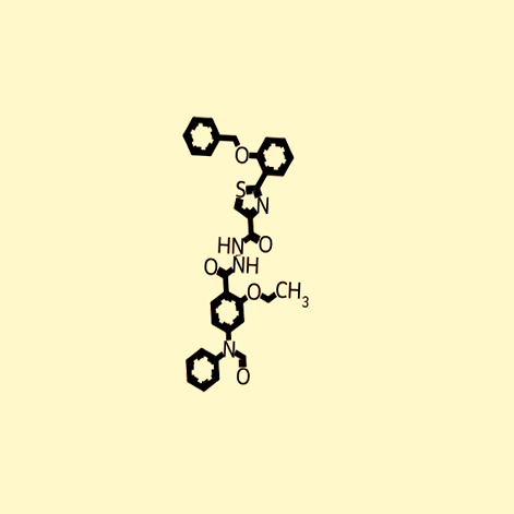 CCOc1cc(N(C=O)c2ccccc2)ccc1C(=O)NNC(=O)c1csc(-c2ccccc2OCc2ccccc2)n1